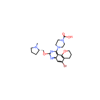 CN1CCC[C@H]1COc1nc(N2CCN(C(=O)O)CC2)c2c3c(c(Br)cc2n1)CCCO3